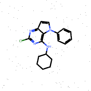 Clc1nc(NC2CCCCC2)c2c(ccn2-c2ccccc2)n1